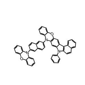 c1ccc(-n2c3cc4c(cc3c3c5ccccc5ccc32)Oc2ccccc2N4c2ccc3cc(N4c5ccccc5Oc5ccccc54)ccc3c2)cc1